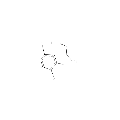 CCCCCCCCCCCC(=O)O.Cc1ccc(C(C)C)cc1O